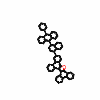 c1ccc(-c2c3ccccc3c(-c3ccc(-c4ccc5c(c4)c4ccccc4c4c5oc5c6ccccc6c6ccccc6c54)c4ccccc34)c3ccccc23)cc1